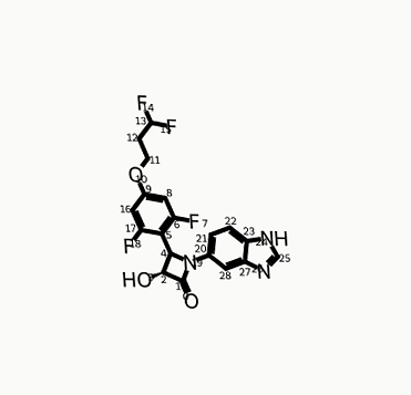 O=C1[C@@H](O)C(c2c(F)cc(OCCC(F)F)cc2F)N1c1ccc2[nH]cnc2c1